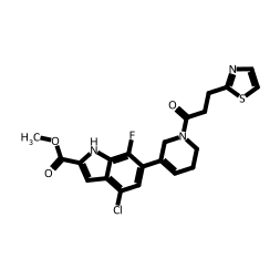 COC(=O)c1cc2c(Cl)cc(C3=CCCN(C(=O)CCc4nccs4)C3)c(F)c2[nH]1